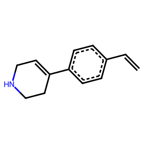 C=Cc1ccc(C2=CCNCC2)cc1